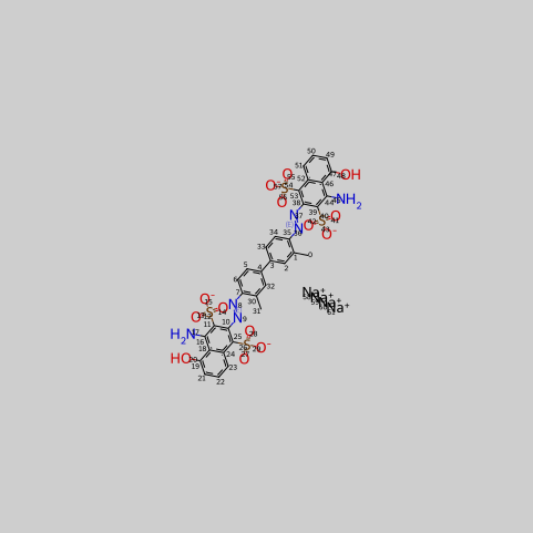 Cc1cc(-c2ccc(/N=N/c3c(S(=O)(=O)[O-])c(N)c4c(O)cccc4c3S(=O)(=O)[O-])c(C)c2)ccc1/N=N/c1c(S(=O)(=O)[O-])c(N)c2c(O)cccc2c1S(=O)(=O)[O-].[Na+].[Na+].[Na+].[Na+]